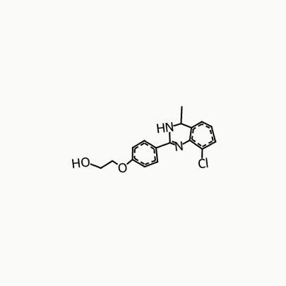 CC1NC(c2ccc(OCCO)cc2)=Nc2c(Cl)cccc21